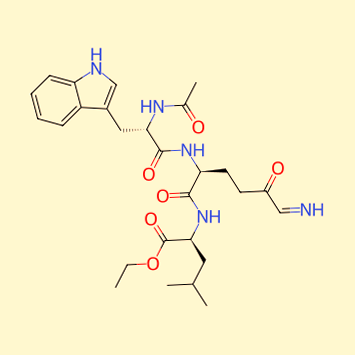 CCOC(=O)[C@H](CC(C)C)NC(=O)[C@H](CCC(=O)C=N)NC(=O)[C@H](Cc1c[nH]c2ccccc12)NC(C)=O